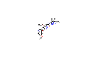 COc1ccc2nccc(Oc3cnc(CC(=O)Nc4cc(C(C)C)[nH]n4)c(OC)c3)c2c1